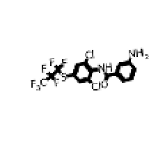 Nc1cccc(C(=O)Nc2c(Cl)cc(SC(F)(F)C(F)(F)C(F)(F)F)cc2Cl)c1